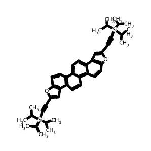 CC(C)[Si](C#Cc1cc2c(ccc3c2ccc2c4ccc5oc(C#C[Si](C(C)C)(C(C)C)C(C)C)cc5c4ccc32)o1)(C(C)C)C(C)C